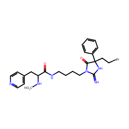 CC(C)CCC1(c2ccccc2)NC(=N)N(CCCCNC(=O)C(Cc2ccncc2)NC(=O)O)C1=O